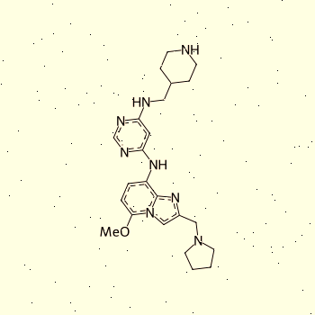 COc1ccc(Nc2cc(NCC3CCNCC3)ncn2)c2nc(CN3CCCC3)cn12